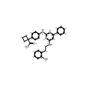 O=C(O)C1(c2ccc(Nc3nc(NCCc4ccccc4O)cc(-c4ccccc4)n3)cc2)CCC1